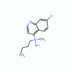 CCCC[N+](C)(N)c1ccnc2cc(Cl)ccc12